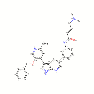 COc1cc(-c2c[nH]c3ncc(-c4cccc(NC(=O)C=CCN(C)C)c4)cc23)c(OCc2ccccc2)cn1